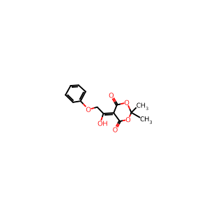 CC1(C)OC(=O)C(=C(O)COc2ccccc2)C(=O)O1